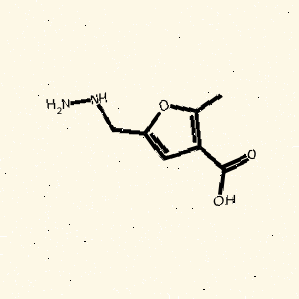 Cc1oc(CNN)cc1C(=O)O